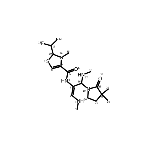 CN/C=C(/NC(=O)C1=CSC(C(F)F)N1C)C(NC)N1CCC(C)(C)C1=O